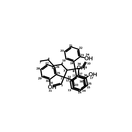 C=CC([C](CCCC)C(C=C)(c1ccccc1O)c1ccccc1O)(c1ccccc1O)c1ccccc1O